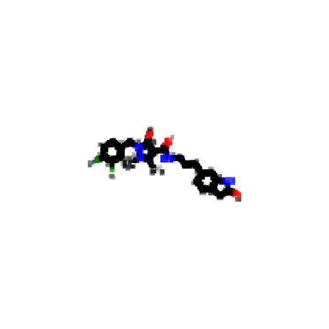 Cc1c(C(=O)NC/C=C/c2ccc3c(c2)NC(=O)C3)c(=O)n(Cc2ccc(F)c(F)c2)n1C